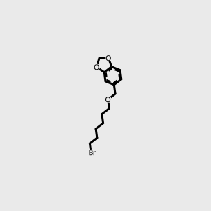 BrCCCCCCOCc1ccc2c(c1)OCO2